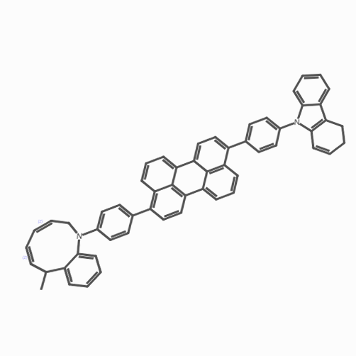 CC1/C=C\C=C/CN(c2ccc(-c3ccc4c5cccc6c(-c7ccc(-n8c9c(c%10ccccc%108)CCC=C9)cc7)ccc(c7cccc3c74)c65)cc2)c2ccccc21